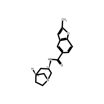 Cc1cc2cc(C(=O)N[C@@H]3C[C@H]4CCN(C4)C3)ccc2o1